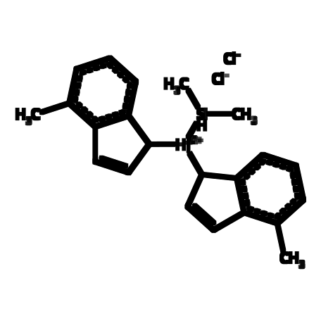 Cc1cccc2c1C=C[CH]2[Hf+2]([CH]1C=Cc2c(C)cccc21)[SiH](C)C.[Cl-].[Cl-]